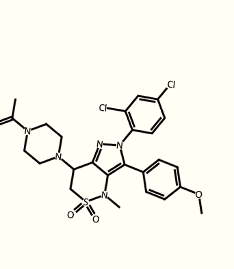 COc1ccc(-c2c3c(nn2-c2ccc(Cl)cc2Cl)C(N2CCN(C(C)=O)CC2)CS(=O)(=O)N3C)cc1